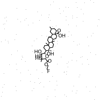 CC1CCC2(C(=O)O)CCC3C(=CCC4C3(C)CCC3C4(C)CCC(C(OC(C(=O)OCCF)C(C)O)C(O)O)[C@@]3(C)O)C2C1